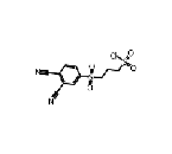 N#Cc1ccc(S(=O)(=O)CCCS(=O)(=O)Cl)cc1C#N